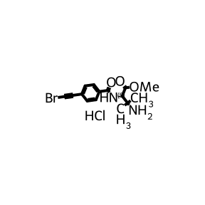 COC(=O)[C@@H](NC(=O)c1ccc(C#CBr)cc1)C(C)(C)N.Cl